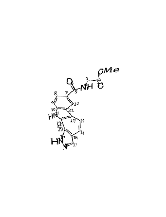 COC(=O)CNC(=O)c1ccc2[nH]c3c(ccc4cn[nH]c43)c2c1